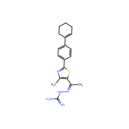 C/C(=N/NC(=N)N)c1sc(-c2ccc(C3=CCCCC3)cc2)nc1C